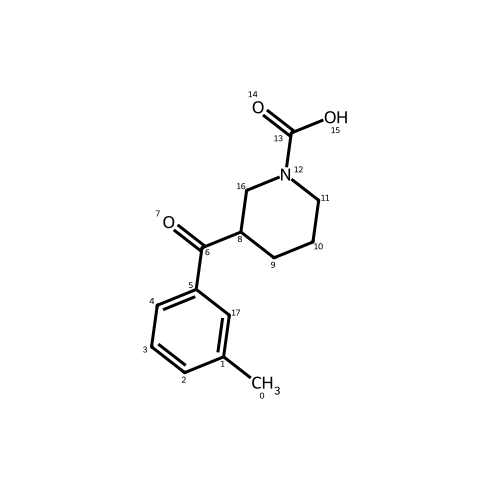 Cc1cccc(C(=O)C2CCCN(C(=O)O)C2)c1